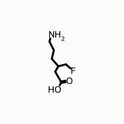 NCCCC(CF)CC(=O)O